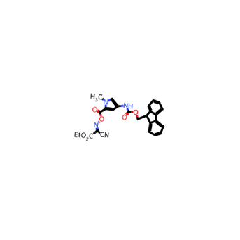 CCOC(=O)/C(C#N)=N/OC(=O)c1cc(NC(=O)OCC2c3ccccc3-c3ccccc32)cn1C